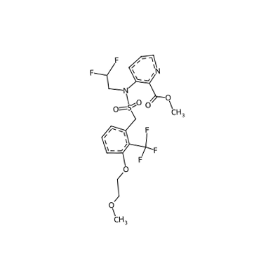 COCCOc1cccc(CS(=O)(=O)N(CC(F)F)c2cccnc2C(=O)OC)c1C(F)(F)F